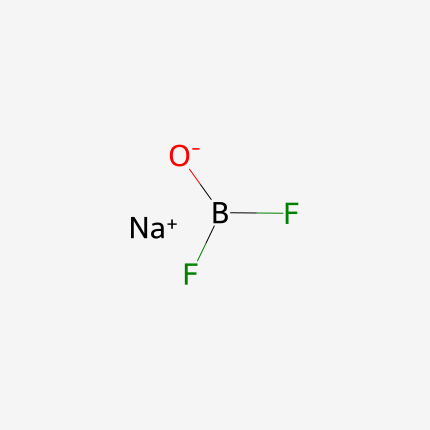 [Na+].[O-]B(F)F